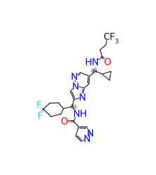 O=C(CCC(F)(F)F)N[C@@H](c1cnn2cc([C@@H](NC(=O)c3ccnnc3)C3CCC(F)(F)CC3)nc2c1)C1CC1